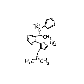 CC(c1ccccc1C1=C(CN(C)C)C=CC1)[N]([Ti+2])c1ccccc1.[Cl-].[Cl-]